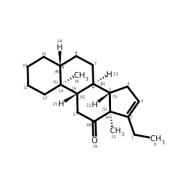 CCC1=CC[C@H]2[C@@H]3CC[C@H]4CCCC[C@]4(C)[C@H]3CC(=O)[C@]12C